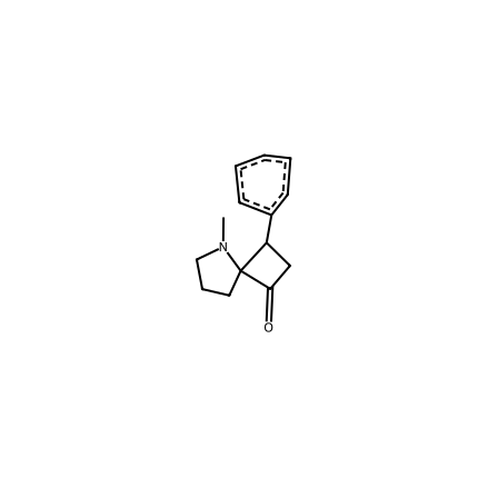 CN1CCCC12C(=O)CC2c1ccccc1